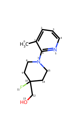 Cc1cccnc1N1CCC(F)(CO)CC1